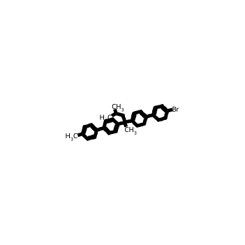 Cc1ccc(-c2ccc(C(C)(CC(C)C)C3=CC=C(C4=CC=C(Br)CC4)CC3)cc2)cc1